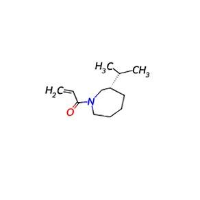 C=CC(=O)N1CCCC[C@@H](C(C)C)C1